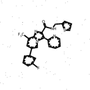 O=C(NCc1cccs1)c1nc2c(C(F)(F)F)cc(-c3cccc(F)c3)cn2c1-c1ccccn1